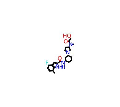 Cc1ccc(F)c2cc(C(=O)N[C@@H]3CCC[C@@H](N4CC[C@@H](N(C)C(=O)CO)C4)C3)[nH]c12